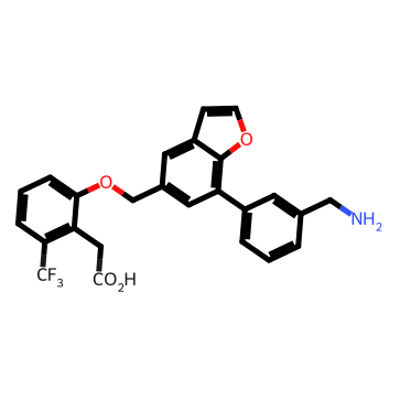 NCc1cccc(-c2cc(COc3cccc(C(F)(F)F)c3CC(=O)O)cc3ccoc23)c1